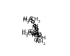 CC(C)(C)c1ccc(-c2cnc(-c3ccc(CC(NC(=O)c4ccc(C(C)(C)C)s4)C(=O)NC(CCC(N)=O)C(=O)O)cc3)nc2)cc1